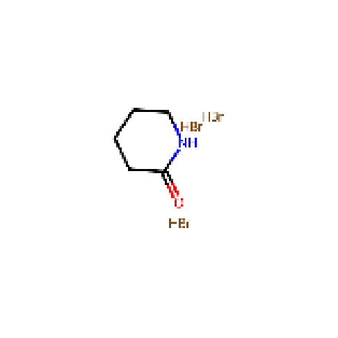 Br.Br.Br.O=C1CCCCN1